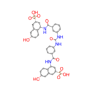 O=C(Nc1cccc(C(=O)Nc2cc(S(=O)(=O)O)cc3cc(O)ccc23)c1)Nc1cccc(C(=O)Nc2cc(S(=O)(=O)O)cc3cc(O)ccc23)c1